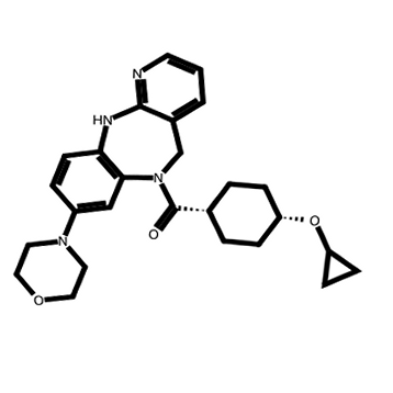 O=C([C@H]1CC[C@@H](OC2CC2)CC1)N1Cc2cccnc2Nc2ccc(N3CCOCC3)cc21